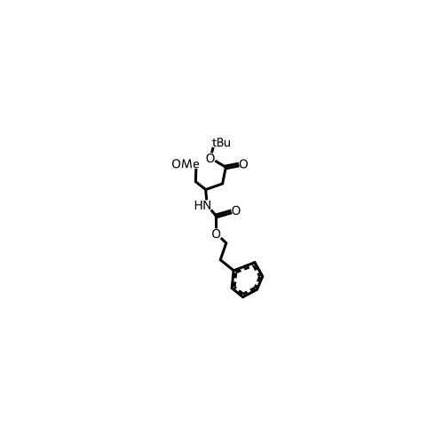 COCC(CC(=O)OC(C)(C)C)NC(=O)OCCc1ccccc1